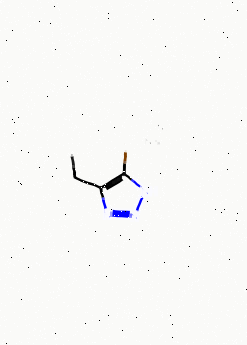 O=C(O)Cc1nn[nH]c1S.[NaH].[NaH]